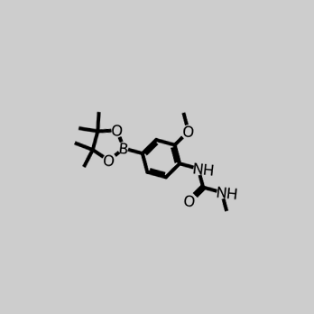 CNC(=O)Nc1ccc(B2OC(C)(C)C(C)(C)O2)cc1OC